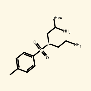 CCCCCCC(N)CN(CCN)S(=O)(=O)c1ccc(C)cc1